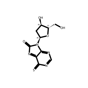 O=C1N=C2C(=S)N=CN=C2N1[C@H]1C[C@@H](O)[C@H](CO)O1